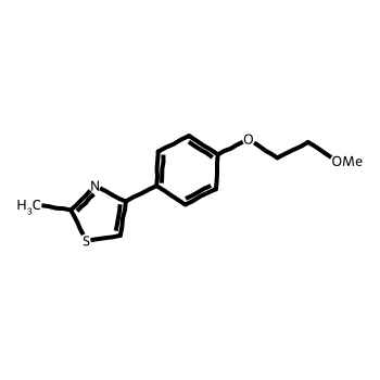 COCCOc1ccc(-c2csc(C)n2)cc1